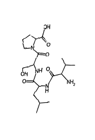 CC(C)CC(NC(=O)C(N)C(C)C)C(=O)NC(CO)C(=O)N1CCCC1C(=O)O